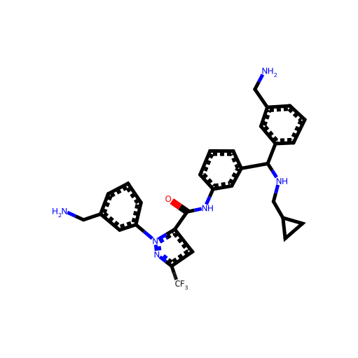 NCc1cccc(C(NCC2CC2)c2cccc(NC(=O)c3cc(C(F)(F)F)nn3-c3cccc(CN)c3)c2)c1